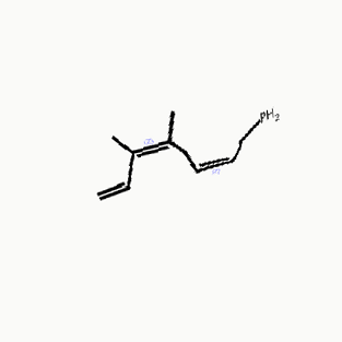 C=C/C(C)=C(C)\C=C/CP